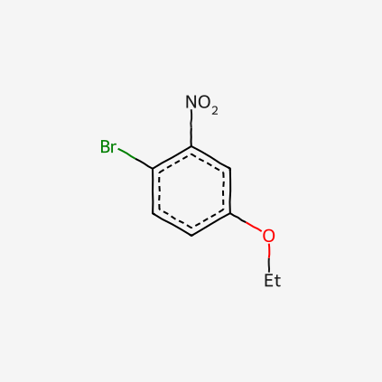 CCOc1ccc(Br)c([N+](=O)[O-])c1